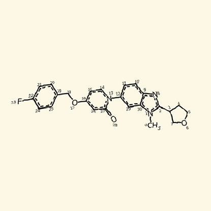 Cn1c(C2CCOC2)nc2ccc(-n3ccc(OCc4ccc(F)cc4)cc3=O)cc21